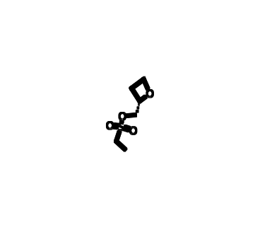 CCS(=O)(=O)OC[C@@H]1CCO1